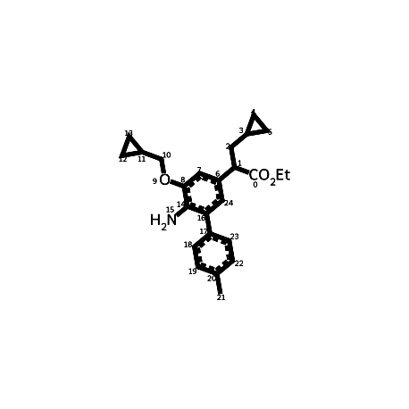 CCOC(=O)C(CC1CC1)c1cc(OCC2CC2)c(N)c(-c2ccc(C)cc2)c1